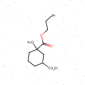 CCOC(=O)C1CCCC(OC(C)=O)(C(=O)OCCC(C)C)C1